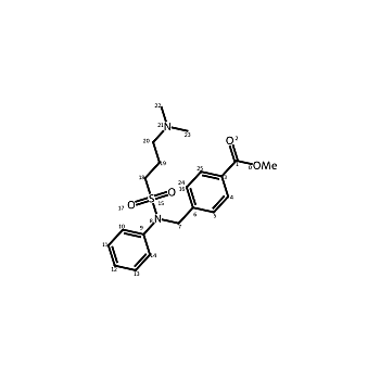 COC(=O)c1ccc(CN(c2ccccc2)S(=O)(=O)CCCN(C)C)cc1